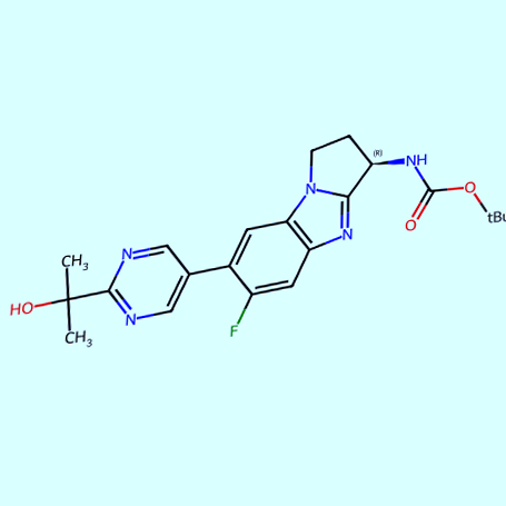 CC(C)(C)OC(=O)N[C@@H]1CCn2c1nc1cc(F)c(-c3cnc(C(C)(C)O)nc3)cc12